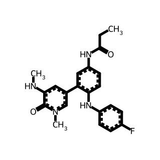 CCC(=O)Nc1ccc(Nc2ccc(F)cc2)c(-c2cc(NC)c(=O)n(C)c2)c1